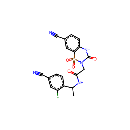 C[C@H](NC(=O)CN1C(=O)Nc2ccc(C#N)cc2S1(=O)=O)c1ccc(C#N)cc1F